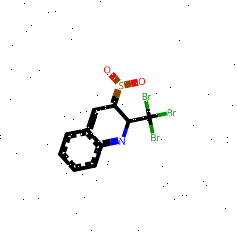 O=S(=O)=C1C=c2ccccc2=NC1C(Br)(Br)Br